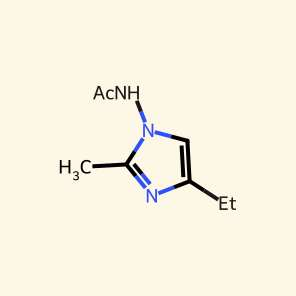 CCc1cn(NC(C)=O)c(C)n1